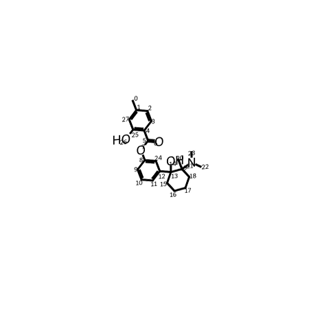 Cc1ccc(C(=O)Oc2cccc(C3(O)CCCCC3(C)N(C)C)c2)c(O)c1